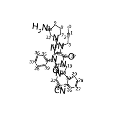 CC#CCn1c(N2CCCC(N)C2)nc2c1c(=O)n(Cc1ncc(C#N)c3ccccc13)c(=O)n2-c1ccccc1